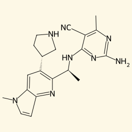 Cc1nc(N)nc(N[C@@H](C)c2nc3ccn(C)c3cc2[C@@H]2CCNC2)c1C#N